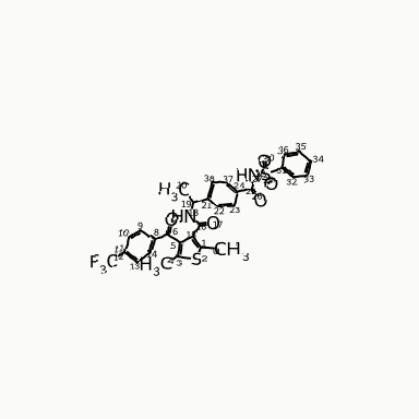 Cc1sc(C)c(C(=O)c2ccc(C(F)(F)F)cc2)c1C(=O)NC(C)c1ccc(C(=O)NS(=O)(=O)c2ccccc2)cc1